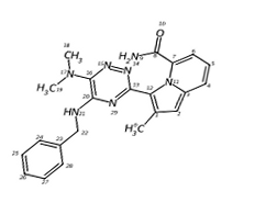 Cc1cc2cccc(C(N)=O)n2c1-c1nnc(N(C)C)c(NCc2ccccc2)n1